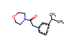 CC(C)c1cccc(CC(=O)N2CCOCC2)c1